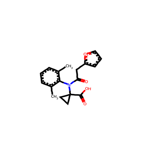 Cc1cccc(C)c1N(C(=O)Cc1ccco1)C1(C(=O)O)CC1